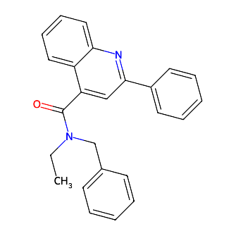 CCN(Cc1ccccc1)C(=O)c1cc(-c2ccccc2)nc2ccccc12